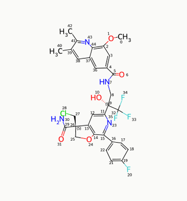 COc1cc(C(=O)NC[C@](O)(c2cc3c(c(-c4ccc(F)cc4)n2)OC[C@]3(CCl)C(N)=O)C(F)(F)F)cc2cc(C)c(C)nc12